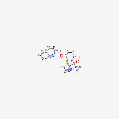 COC(c1cccc(OCc2ccc3ccccc3n2)c1)(c1nccs1)C(F)(F)F